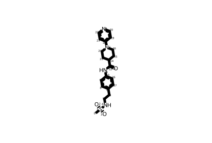 CS(=O)(=O)NCCc1ccc(NC(=O)C2CCN(c3ccncc3)CC2)cc1